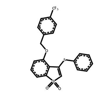 O=S1(=O)C=C(Sc2ccccc2)c2c(OCc3ccc(C(F)(F)F)cc3)cccc21